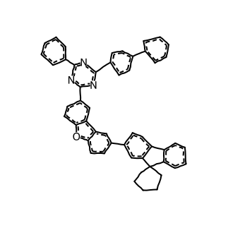 c1ccc(-c2ccc(-c3nc(-c4ccccc4)nc(-c4ccc5oc6ccc(-c7ccc8c(c7)C7(CCCCC7)c7ccccc7-8)cc6c5c4)n3)cc2)cc1